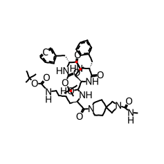 CNC(=O)N1CC2(CCN(C(=O)[C@@H](CCCCNC(=O)OC(C)(C)C)NC(O)[C@@H](CC(C)C)NC(=O)[C@@H](Cc3ccccc3)NC(=O)[C@@H](Cc3ccccc3)NC(=O)OC(C)(C)C)CC2)C1